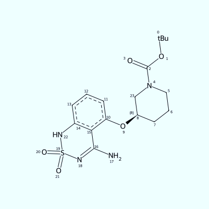 CC(C)(C)OC(=O)N1CCC[C@@H](Oc2cccc3c2C(N)=NS(=O)(=O)N3)C1